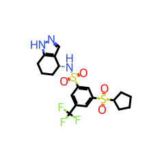 O=S(=O)(N[C@@H]1CCCc2[nH]ncc21)c1cc(C(F)(F)F)cc(S(=O)(=O)C2CCCC2)c1